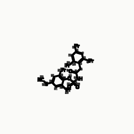 CC(C)c1cc(C(C)C)c(CC(=O)NS(=O)(=O)Oc2c(C(C)C)cc(SC#N)cc2C(C)C)c(C(C)C)c1